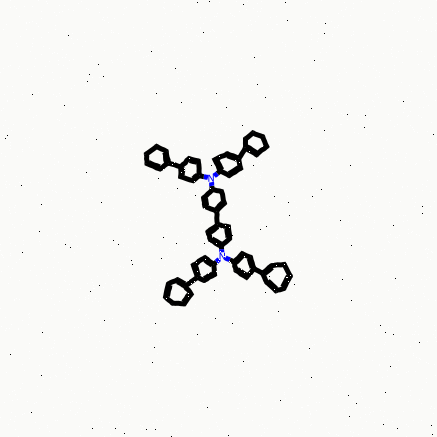 C1=CCC=CC(c2ccc(N(c3ccc(C4=CCC=CC=C4)cc3)c3ccc(C4=CCC(N(c5ccc(C6=CCCC=C6)cc5)c5ccc(C6=CCCCC6)cc5)C=C4)cc3)cc2)=C1